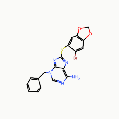 Nc1ncn(Cc2ccccc2)c2nc(Sc3cc4c(cc3Br)OCO4)nc1-2